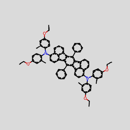 CCOc1ccc(N(c2ccc(OCC)cc2C)c2ccc3c4c(-c5ccccc5)c5c6ccc(N(c7ccc(OCC)cc7C)c7ccc(OCC)cc7C)c7cccc(c5c(-c5ccccc5)c4c4cccc2c43)c76)c(C)c1